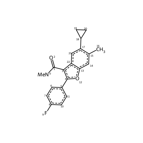 CNC(=O)c1c(-c2ccc(F)cc2)oc2cc(C)c(C3CC3)cc12